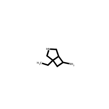 CCC12CNCC1C(N)C2